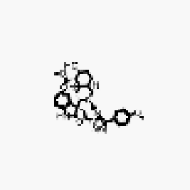 COC(=O)[C@@H]1[C@H]2C[C@@H]([C@@]3(CCn4cc(-c5ccc(OC)cc5)nn4)C(=O)Nc4ccccc43)N(C#N)C[C@@H]2CC[C@@H]1O